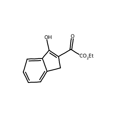 CCOC(=O)C(=O)C1=C(O)c2ccccc2C1